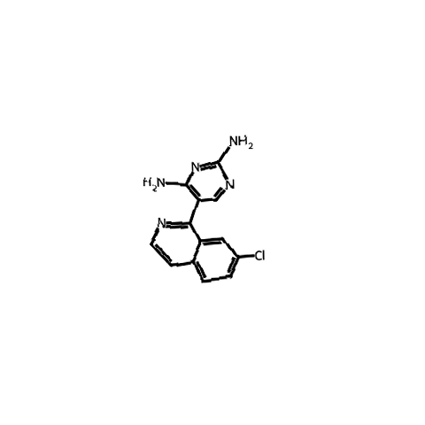 Nc1ncc(-c2nccc3ccc(Cl)cc23)c(N)n1